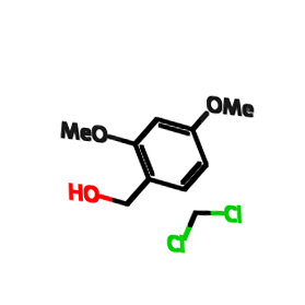 COc1ccc(CO)c(OC)c1.ClCCl